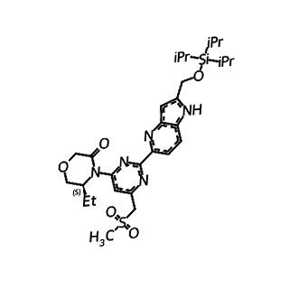 CC[C@H]1COCC(=O)N1c1cc(CS(C)(=O)=O)nc(-c2ccc3[nH]c(CO[Si](C(C)C)(C(C)C)C(C)C)cc3n2)n1